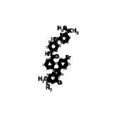 CN(C)c1ccnc(NC2CCC(NC(=O)c3cccc(-n4c(-c5ccc(Br)cc5)cc5c4CC(C)(C)CC5=O)c3)CC2)n1